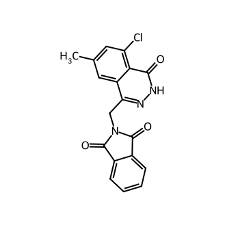 Cc1cc(Cl)c2c(=O)[nH]nc(CN3C(=O)c4ccccc4C3=O)c2c1